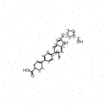 O=C(O)C1CC=C(c2ccc(-c3nc4cc(O[C@@H]5CO[C@H](CO)C5)[nH]c4cc3F)cc2)CC1